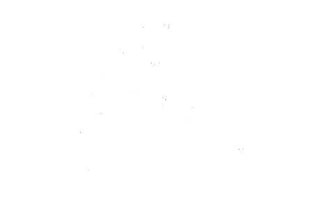 COc1ccc(CNc2nc(CN)nc3ccc(-c4ccc(Cl)cc4)cc23)cc1